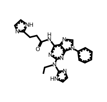 CCN(c1nc(NC(=O)CCc2ncc[nH]2)c2ncn(-c3ccccc3)c2n1)c1ncc[nH]1